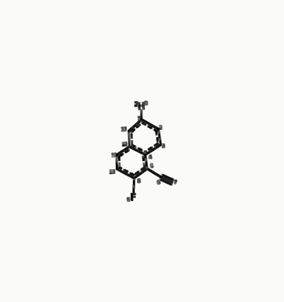 [2H]c1ccc2c(C#C)c(F)ccc2c1